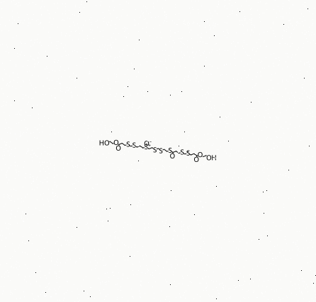 O=C(CCSCSCCC[S+]([O-])CCSCSCCSC(=O)CCSCSCCC(=O)OCCO)OCCO